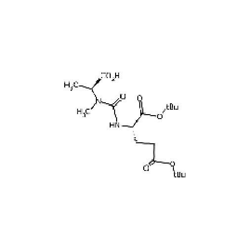 C[C@@H](C(=O)O)N(C)C(=O)N[C@@H](CCC(=O)OC(C)(C)C)C(=O)OC(C)(C)C